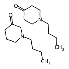 CCCCN1CCC(=O)CC1.CCCCN1CCCC(=O)C1